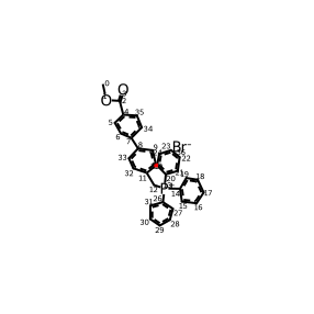 COC(=O)c1ccc(-c2ccc(C[P+](c3ccccc3)(c3ccccc3)c3ccccc3)cc2)cc1.[Br-]